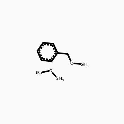 CC(C)(C)O[SiH3].[SiH3]OCc1ccccc1